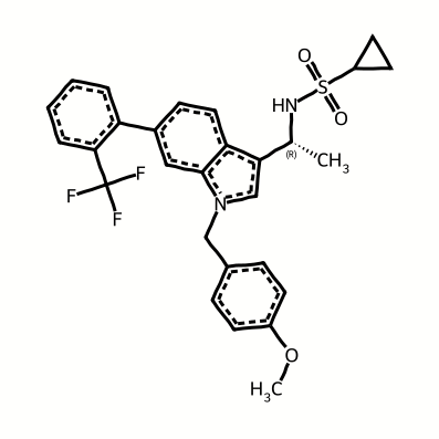 COc1ccc(Cn2cc([C@@H](C)NS(=O)(=O)C3CC3)c3ccc(-c4ccccc4C(F)(F)F)cc32)cc1